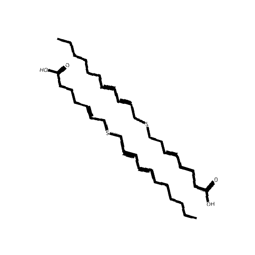 CCCCCCC=CC=CCSCC=CCCCC(=O)O.CCCCCCC=CC=CCSCCC=CCCCC(=O)O